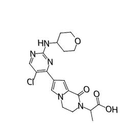 CC(C(=O)O)N1CCn2cc(-c3nc(NC4CCOCC4)ncc3Cl)cc2C1=O